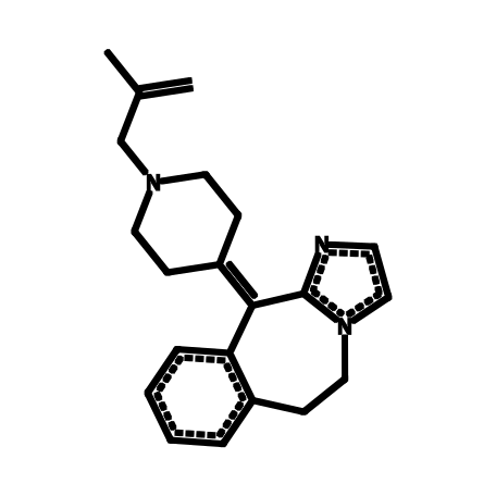 C=C(C)CN1CCC(=C2c3ccccc3CCn3ccnc32)CC1